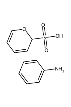 Nc1ccccc1.O=S(=O)(O)C1C=CC=CO1